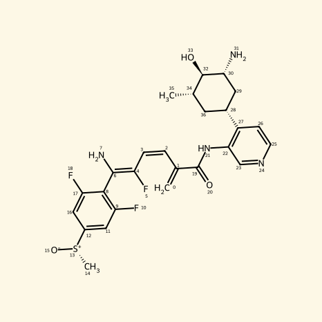 C=C(/C=C\C(F)=C(/N)c1c(F)cc([S@+](C)[O-])cc1F)C(=O)Nc1cnccc1[C@H]1C[C@@H](N)[C@H](O)[C@@H](C)C1